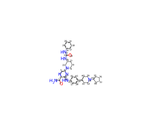 NC(=O)c1ncc(N2CCCC(NC(=O)Nc3ccccc3)C2)nc1Nc1ccc(C2CCN(C3CCCC3)CC2)cc1